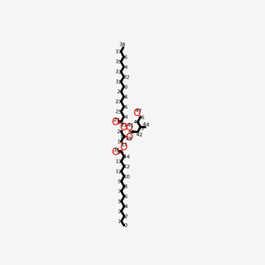 CCCCCCCCCCCCCCCC(=O)OCC(COC(=O)CCCCCCCCCCCCCCC)OC(=O)CC(C)CC=O